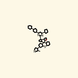 Cc1cnccc1-c1ccc2c(c1)Sc1ccccc1C21c2ccccc2-c2c(-c3nc(-c4ccccc4)cc(-c4ccc(-c5ccccc5)cc4)n3)cccc21